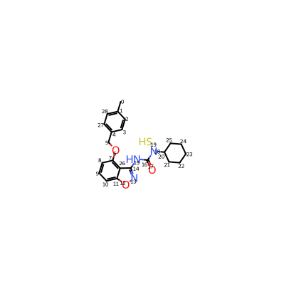 Cc1ccc(COc2cccc3onc(NC(=O)N(S)C4CCCCC4)c23)cc1